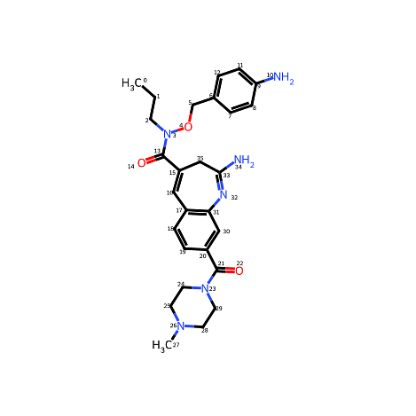 CCCN(OCc1ccc(N)cc1)C(=O)C1=Cc2ccc(C(=O)N3CCN(C)CC3)cc2N=C(N)C1